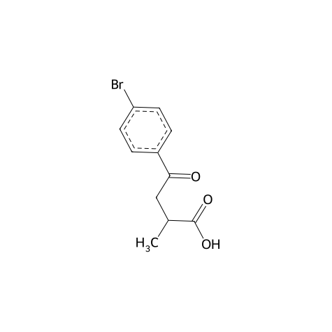 CC(CC(=O)c1ccc(Br)cc1)C(=O)O